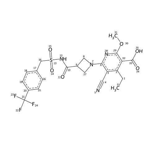 CCc1c(C#N)c(N2CC(C(=O)NS(=O)(=O)Cc3ccc(C(F)(F)F)cc3)C2)nc(OC)c1C(=O)O